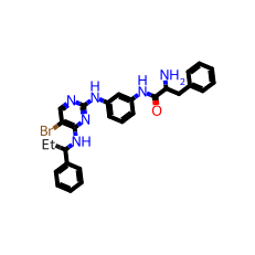 CCC(Nc1nc(Nc2cccc(NC(=O)C(N)Cc3ccccc3)c2)ncc1Br)c1ccccc1